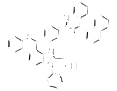 CCc1nc2c3c(-c4ccc(-c5nc(-c6cccc7ccccc67)c6ccccc6n5)cc4)nc4ccccc4c3ccc2n1-c1ccccc1